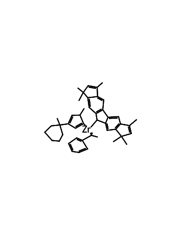 CC1=CC(C)(C)c2cc3c(cc21)-c1cc2c(cc1[CH]3[Zr]([C]1=CC(C3(C)CCCCC3)=CC1C)=[C](C)c1ccccc1)C(C)(C)C=C2C